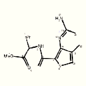 C=C(NC(CCC)C(=O)OC)c1scc(C)c1/N=C(\C)N